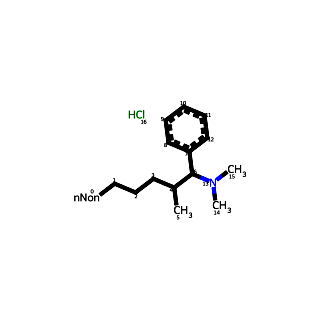 CCCCCCCCCCCCC(C)C(c1ccccc1)N(C)C.Cl